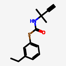 C#CC(C)(C)NC(=O)Sc1cccc(CC)c1